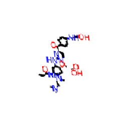 C=CC(=O)Nc1cc(Nc2nccc(C(=O)c3ccc(NCCO)cc3)n2)c(OC)cc1N(C)CCN(C)C.O=CO